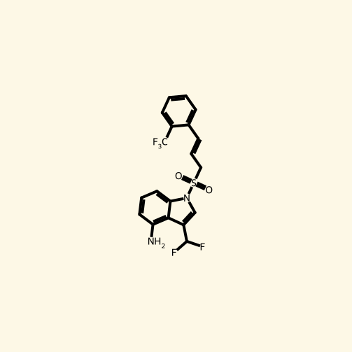 Nc1cccc2c1c(C(F)F)cn2S(=O)(=O)CC=Cc1ccccc1C(F)(F)F